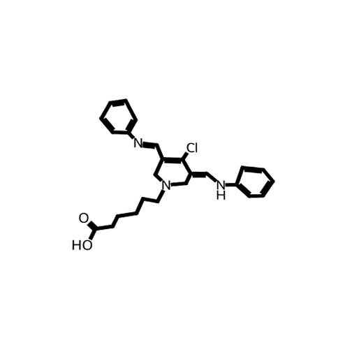 O=C(O)CCCCCN1CC(/C=N/c2ccccc2)=C(Cl)C(=C/Nc2ccccc2)/C1